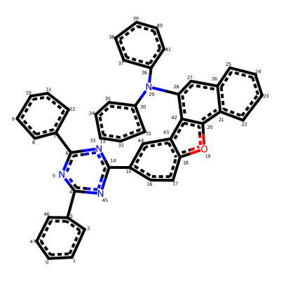 c1ccc(-c2nc(-c3ccccc3)nc(-c3ccc4oc5c6ccccc6cc(N(c6ccccc6)c6ccccc6)c5c4c3)n2)cc1